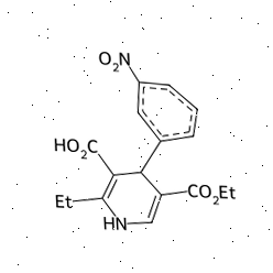 CCOC(=O)C1=CNC(CC)=C(C(=O)O)C1c1cccc([N+](=O)[O-])c1